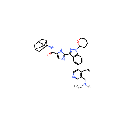 CCN(Cc1cncc(-c2ccc3c(c2)c(-c2ncc(C(=O)NC4C5CC6CC(C5)CC4C6)[nH]2)nn3C2CCCCO2)c1C)C(=O)O